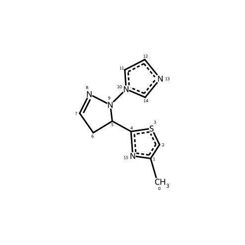 Cc1csc(C2CC=NN2n2ccnc2)n1